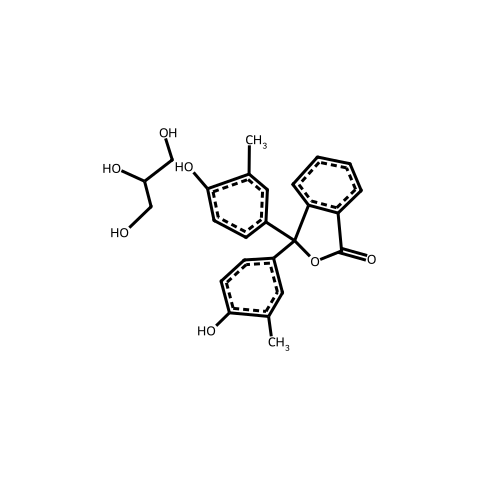 Cc1cc(C2(c3ccc(O)c(C)c3)OC(=O)c3ccccc32)ccc1O.OCC(O)CO